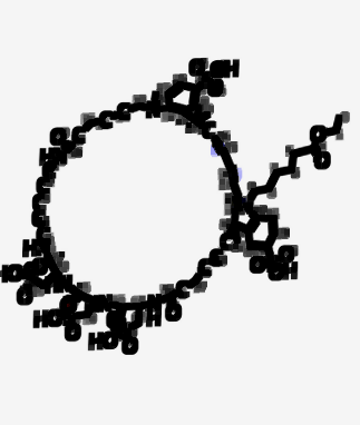 CCOC(=O)CCCCCN1\C2=C/C=C/C=C/CC(C)(C)c3cc(S(=O)(=O)O)ccc3N(C)CCCCCC(=O)NCCCCCNC(=O)C(CS(=O)(=O)O)NC(=O)C(CS(=O)(=O)O)NC(=O)C(CS(=O)(=O)O)NC(=O)CCCCCC2(C)c2cc(S(=O)(=O)O)ccc21